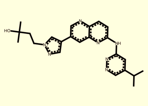 CC(C)c1cnnc(Nc2ccc3ncc(-c4cnn(CCC(C)(C)O)c4)cc3n2)c1